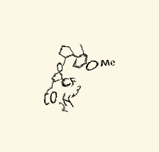 COc1ccc(C2=C(COc3ccc(CCC(=O)O)c(C(F)(F)F)c3)CCC2)c(C)c1